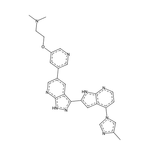 Cc1cn(-c2ccnc3[nH]c(-c4n[nH]c5ncc(-c6cncc(OCCN(C)C)c6)cc45)cc23)cn1